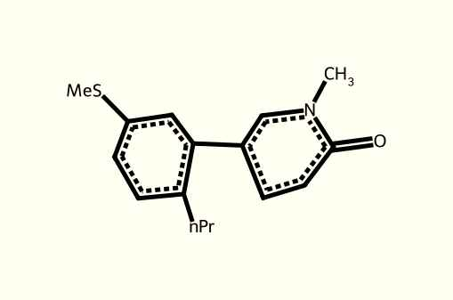 CCCc1ccc(SC)cc1-c1ccc(=O)n(C)c1